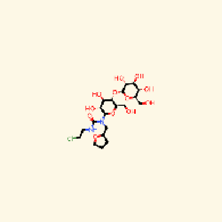 O=C(NCCCl)N(CC1CCCO1)C1O[C@H](CO)[C@@H](O[C@H]2O[C@H](CO)[C@@H](O)[C@H](O)[C@H]2O)[C@H](O)[C@H]1O